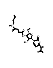 CCCCN(C)C(=O)CCC(=O)O[C@@H]1C(OC)[C@H](n2ccc(NC(C)=O)nc2=O)O[C@@H]1CC